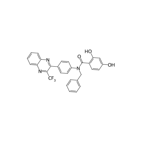 O=C(c1ccc(O)cc1O)N(Cc1ccccc1)c1ccc(-c2nc3ccccc3nc2C(F)(F)F)cc1